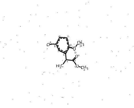 COC(=O)C(C)c1cc(Cl)ccc1OC